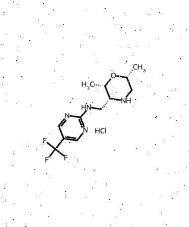 C[C@@H]1CN[C@H](CNc2ncc(C(F)(F)F)cn2)[C@H](C)O1.Cl